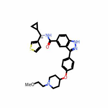 COCCN1CCC(Oc2ccc(-c3n[nH]c4ccc(C(=O)N[C@H](c5ccsc5)C5CC5)cc34)cc2)CC1